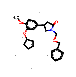 COc1ccc(C2CC(=O)N(COCc3ccccc3)C2)cc1OC1CCCC1